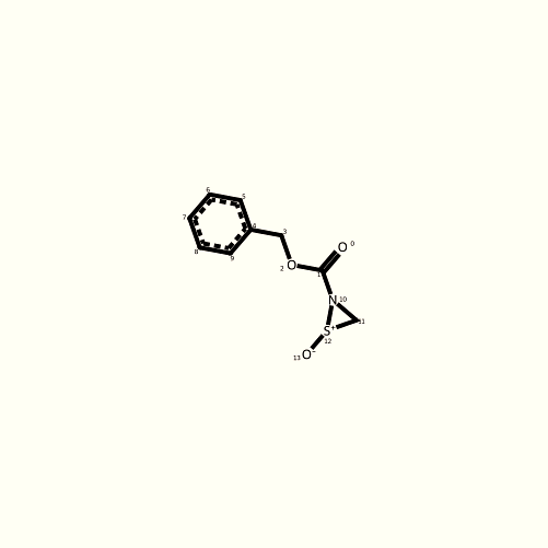 O=C(OCc1ccccc1)N1C[S+]1[O-]